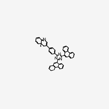 CC12C=CC=CC1=NC=C(c1ccc(-c3nc(-c4cc5c(c6ccccc46)CCC=C5)nc(-c4cc5ccccc5c5ccccc45)n3)cc1)C2